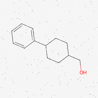 OCC1CCC(c2ccccc2)CC1